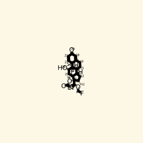 CCC(=O)O[C@@]1(C(=O)OCF)[C@@H](C)C[C@H]2[C@@H]3CCC4=CC(=O)C=C[C@]4(C)[C@@]3(F)[C@@H](O)C[C@@]21C